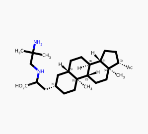 CC(=O)[C@H]1CC[C@H]2[C@@H]3CC[C@H]4C[C@@H](CC(NCC(C)(C)N)C(=O)O)CC[C@]4(C)[C@H]3CC[C@]12C